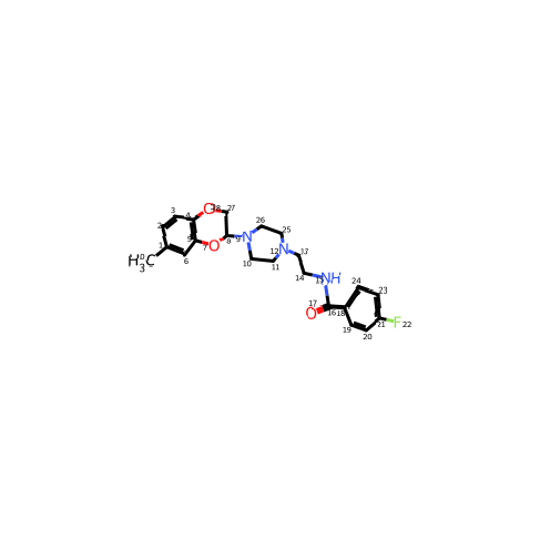 Cc1ccc2c(c1)OC(N1CCN(CCNC(=O)c3ccc(F)cc3)CC1)CO2